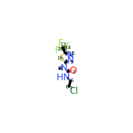 CN(C(=O)NCCCl)c1nnc(C(F)(F)F)s1